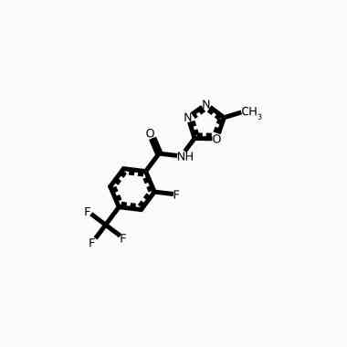 Cc1nnc(NC(=O)c2ccc(C(F)(F)F)cc2F)o1